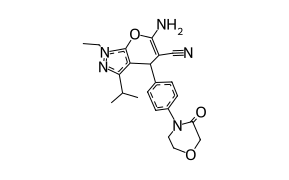 CCn1nc(C(C)C)c2c1OC(N)=C(C#N)C2c1ccc(N2CCOCC2=O)cc1